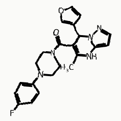 CC1=C(C(=O)N2CCN(c3ccc(F)cc3)CC2)C(c2ccoc2)n2nccc2N1